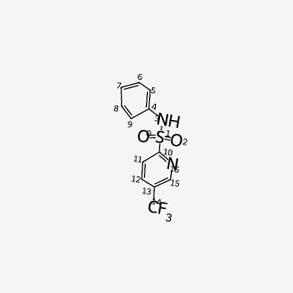 O=S(=O)(Nc1ccccc1)c1ccc(C(F)(F)F)cn1